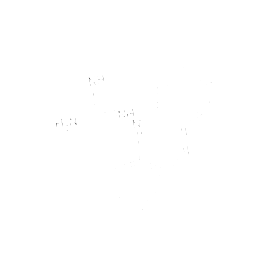 N=C(N)N.c1ccc2nc3ccccc3cc2c1